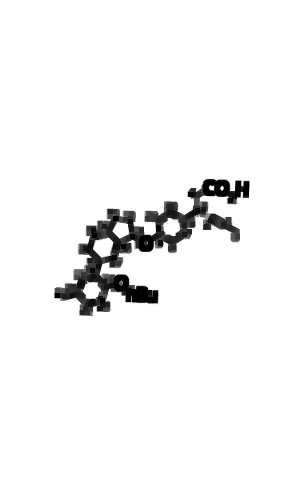 CC#C[C@@H](CC(=O)O)c1ccc(OC2CCC3=CCC(c4cc(C)ccc4OCCCC)C=C32)cc1